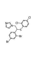 Clc1ccc(SC(Cn2ccnc2)c2ccc(Br)cc2Br)c(Cl)c1